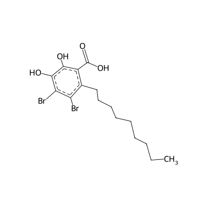 CCCCCCCCCc1c(Br)c(Br)c(O)c(O)c1C(=O)O